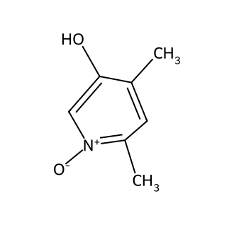 Cc1cc(C)[n+]([O-])cc1O